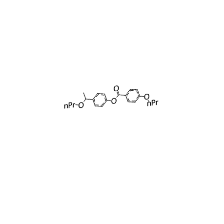 CCCOc1ccc(C(=O)Oc2ccc(C(C)OCCC)cc2)cc1